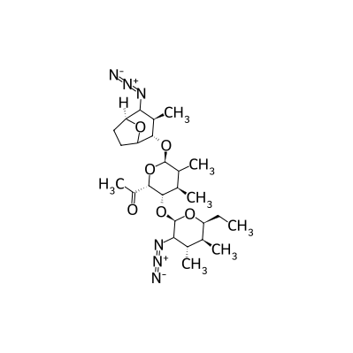 CC[C@@H]1O[C@H](O[C@H]2[C@H](C)C(C)[C@H](O[C@@H]3C4CC[C@H](O4)C(N=[N+]=[N-])[C@H]3C)O[C@H]2C(C)=O)C(N=[N+]=[N-])[C@@H](C)[C@@H]1C